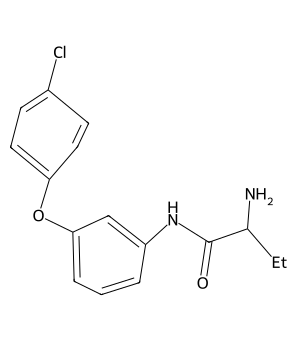 CCC(N)C(=O)Nc1cccc(Oc2ccc(Cl)cc2)c1